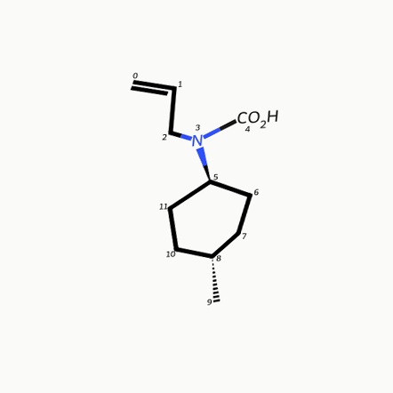 C=CCN(C(=O)O)[C@H]1CC[C@H](C)CC1